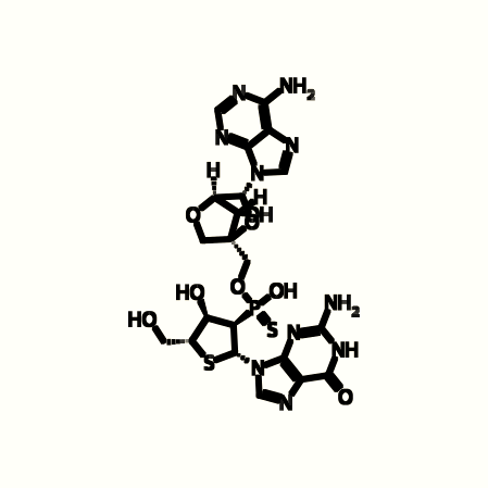 Nc1nc2c(ncn2[C@@H]2S[C@H](CO)[C@@H](O)[C@H]2P(O)(=S)OC[C@@]23CO[C@@H]([C@H](n4cnc5c(N)ncnc54)O2)[C@@H]3O)c(=O)[nH]1